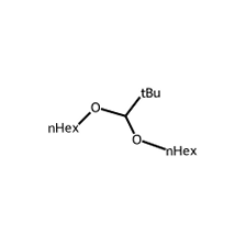 CCCCCCOC(OCCCCCC)C(C)(C)C